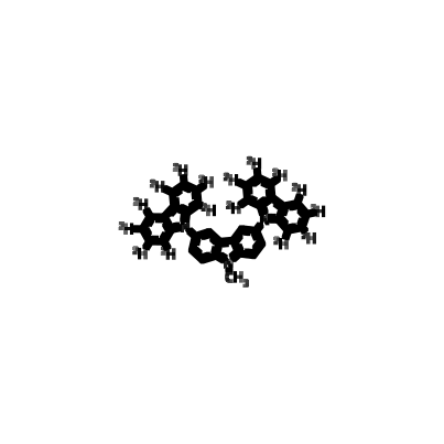 [2H]c1c([2H])c([2H])c2c(c1[2H])c1c([2H])c([2H])c([2H])c([2H])c1n2-c1ccc2c(c1)c1cc(-n3c4c([2H])c([2H])c([2H])c([2H])c4c4c([2H])c([2H])c([2H])c([2H])c43)ccc1n2C